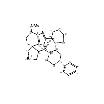 CNC1CC[C@]2(CNCC2C(=O)N2CC[C@@H](c3ccccc3)C[C@H]2C2CCCCC2)c2sc(C)nc21